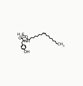 CCCCCCCC/C=C\CCCCCCCC(=O)N[C@@H](Cc1ccc(O)cc1)C(=O)OC